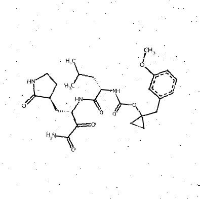 COc1cccc(CC2(OC(=O)N[C@@H](CC(C)C)C(=O)N[C@@H](C[C@@H]3CCNC3=O)C(=O)C(N)=O)CC2)c1